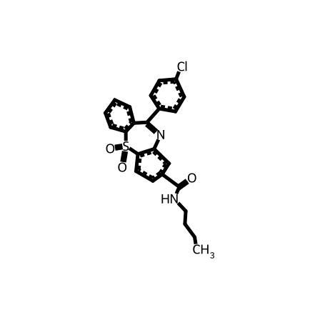 CCCCNC(=O)c1ccc2c(c1)N=C(c1ccc(Cl)cc1)c1ccccc1S2(=O)=O